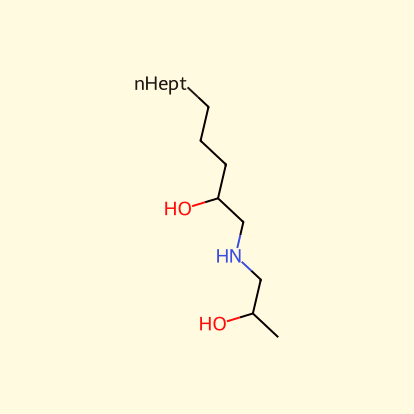 CCCCCCCCCCC(O)CNCC(C)O